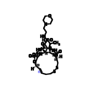 CC(C)[C@H]1NC(=O)[C@H]2CSSCC/C=C/[C@H](CC(=O)N[C@H](CCC(=O)NCCN3CCOCC3)C(=O)N2)OC(=O)CNC1=O